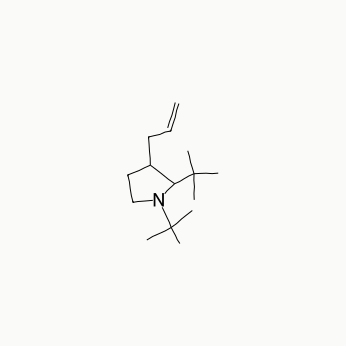 C=CCC1CCN(C(C)(C)C)C1C(C)(C)C